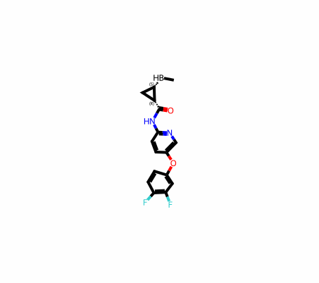 CB[C@H]1C[C@H]1C(=O)Nc1ccc(Oc2ccc(F)c(F)c2)cn1